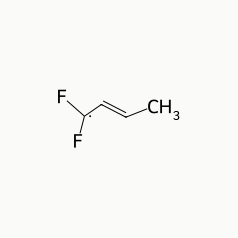 C/C=C/[C](F)F